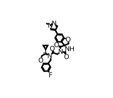 Cn1cc(-c2ccc3c(c2)OCC32NC(=O)N(CC(=O)N3Cc4cc(F)ccc4OC[C@H]3C3CC3)C2=O)cn1